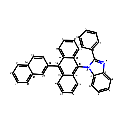 c1ccc(-c2nc3ccccc3n2-c2c3ccccc3c(-c3ccc4ccccc4c3)c3ccccc23)cc1